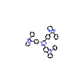 c1ccc(-c2nc3ccccn3c2-c2ccc(-c3cc(-c4ccc(-c5c(-c6ccccc6)nc6ccccn56)cc4)nc(-c4ccc5c6ccccc6n(-c6ccccc6)c5c4)n3)cc2)cc1